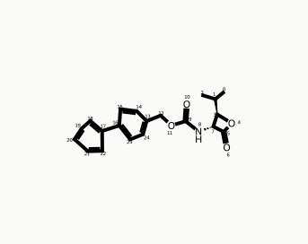 CC(C)[C@H]1OC(=O)[C@@H]1NC(=O)OCc1ccc(-c2ccccc2)cc1